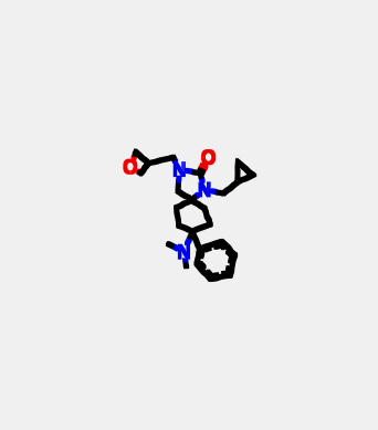 CN(C)C1(c2ccccc2)CCC2(CC1)CN(CC1COC1)C(=O)N2CC1CC1